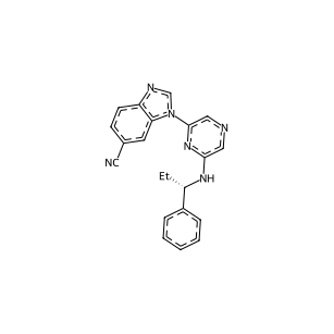 CC[C@H](Nc1cncc(-n2cnc3ccc(C#N)cc32)n1)c1ccccc1